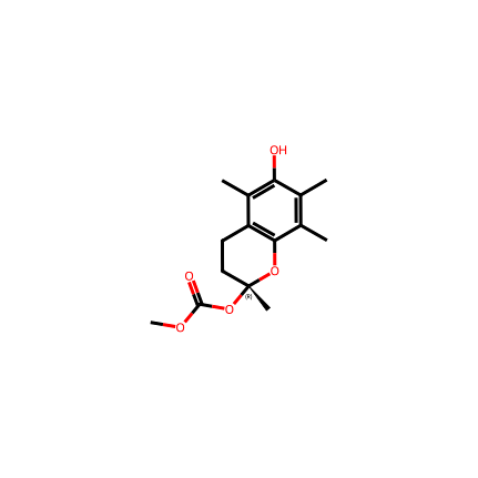 COC(=O)O[C@]1(C)CCc2c(C)c(O)c(C)c(C)c2O1